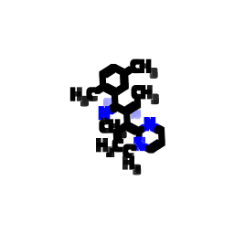 C=CC(=C1N=CC=CN1C)C(=C/C)/C(=N\C)c1cc(C)ccc1C